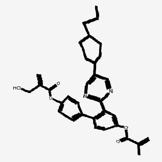 C=C(C)C(=O)Oc1ccc(-c2ccc(OC(=O)C(=C)CO)cc2)c(-c2ncc(C3CCC(CCC)CC3)cn2)c1